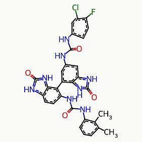 Cc1cccc(NC(=O)Nc2ccc3[nH]c(=O)[nH]c3c2-c2cc(NC(=O)Nc3ccc(F)c(Cl)c3)cc3[nH]c(=O)[nH]c23)c1C